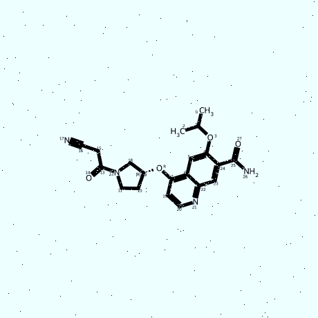 CC(C)Oc1cc2c(O[C@@H]3CCN(C(=O)CC#N)C3)ccnc2cc1C(N)=O